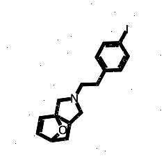 Ic1ccc(CCN2CC3CC4C=CC3(C2)O4)cc1